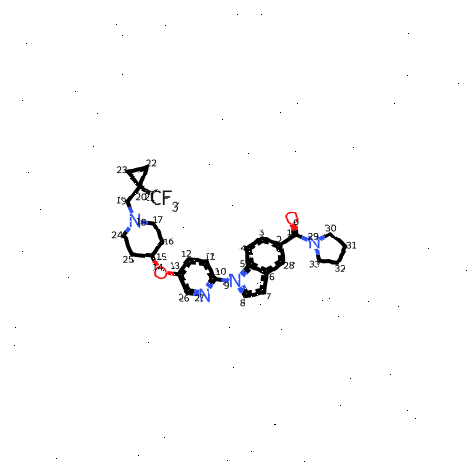 O=C(c1ccc2c(ccn2-c2ccc(OC3CCN(CC4(C(F)(F)F)CC4)CC3)cn2)c1)N1CCCC1